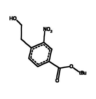 CC(C)(C)OC(=O)c1ccc(CCO)c([N+](=O)[O-])c1